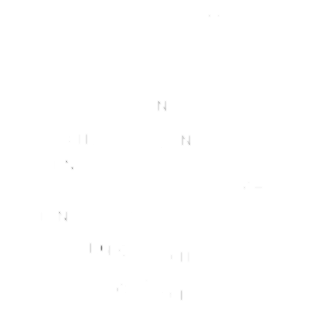 CNc1ccc(C(c2ccc(C)c(Cn3ccnc3CC3CCCOCC3)c2)C(C)(C)C(=O)O)c(C)c1N